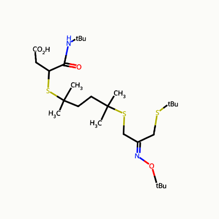 CC(C)(C)NC(=O)C(CC(=O)O)SC(C)(C)CCC(C)(C)SC/C(CSC(C)(C)C)=N/OC(C)(C)C